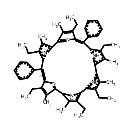 CCC1=C(C)C2=N/C1=C(/c1ccccc1)c1[nH]c(c(C)c1CC)C1=N/C(=C(/c3ccccc3)c3[nH]c(c(C)c3CC)-c3[nH]c(c(CC)c3C)C3=C(CC)C(C)C2N3)C(CC)=C1C